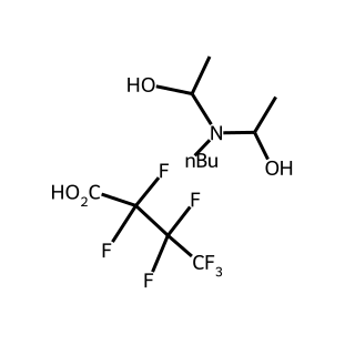 CCCCN(C(C)O)C(C)O.O=C(O)C(F)(F)C(F)(F)C(F)(F)F